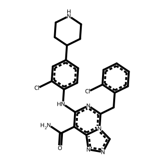 NC(=O)c1c(Nc2ccc(C3CCNCC3)cc2Cl)nc(Cc2ccccc2Cl)n2cnnc12